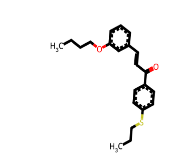 CCCCOc1cccc(C=CC(=O)c2ccc(SCCC)cc2)c1